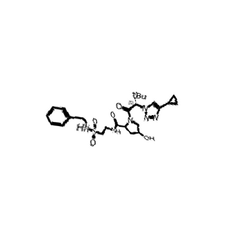 CC(C)(C)[C@@H](C(=O)N1CC(O)CC1C(=O)NCCS(=O)(=O)NCc1ccccc1)n1cc(C2CC2)nn1